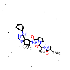 CN[C@@H](C)C(=O)N[C@H](C(=O)N1CCCC1C(=O)Nc1cc2c(Nc3ccccc3)ncnc2cc1OC)C(C)(C)C